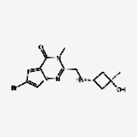 Cn1c(CN[C@H]2C[C@](C)(O)C2)nn2cc(Br)cc2c1=O